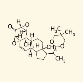 CC(C1OCC(C)(C)CO1)[C@H]1CC[C@H]2[C@@H]3C=C[C@@]45O[C@@H]4C(=O)[C@@H]4O[C@@H]4[C@]5(C)[C@H]3CC[C@]12C